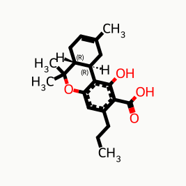 CCCc1cc2c(c(O)c1C(=O)O)[C@@H]1CC(C)=CC[C@H]1C(C)(C)O2